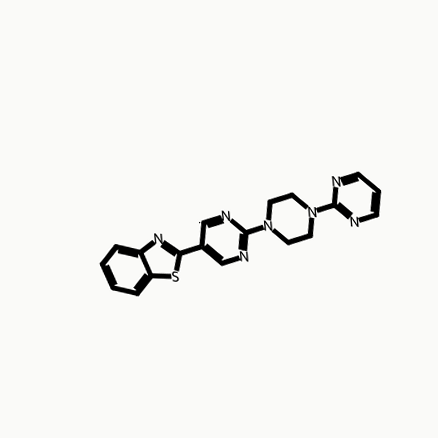 [c]1nc(N2CCN(c3ncccn3)CC2)ncc1-c1nc2ccccc2s1